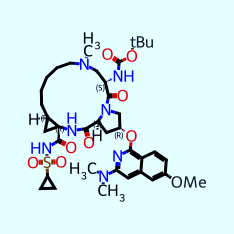 COc1ccc2c(O[C@@H]3C[C@H]4C(=O)N[C@]5(C(=O)NS(=O)(=O)C6CC6)C[C@H]5CCCCCN(C)C[C@H](NC(=O)OC(C)(C)C)C(=O)N4C3)nc(N(C)C)cc2c1